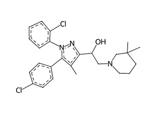 Cc1c(C(O)CN2CCCC(C)(C)C2)nn(-c2ccccc2Cl)c1-c1ccc(Cl)cc1